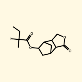 CCC(C)(I)C(=O)OC1CC2CC1C1COC(=O)C21